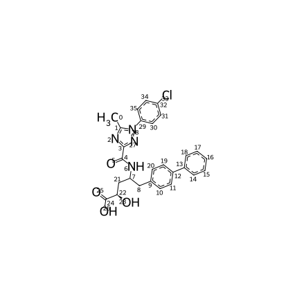 Cc1nc(C(=O)NC(Cc2ccc(-c3ccccc3)cc2)C[C@@H](O)C(=O)O)nn1-c1ccc(Cl)cc1